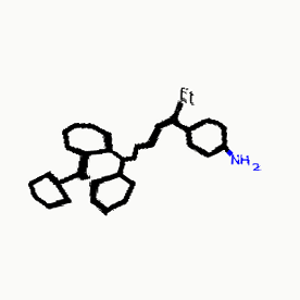 CCC(CCCCC(C1CCCCC1)C1CCCCC1C(C)C1CCCCC1)C1CCC(N)CC1